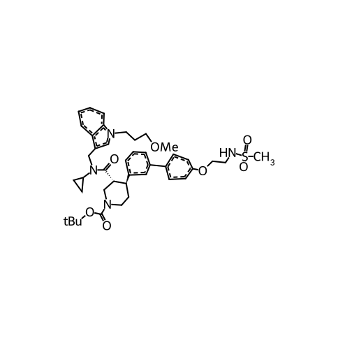 COCCCn1cc(CN(C(=O)[C@H]2CN(C(=O)OC(C)(C)C)CC[C@@H]2c2cccc(-c3ccc(OCCNS(C)(=O)=O)cc3)c2)C2CC2)c2ccccc21